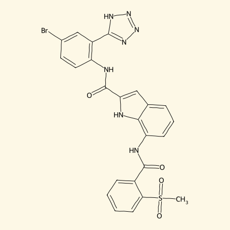 CS(=O)(=O)c1ccccc1C(=O)Nc1cccc2cc(C(=O)Nc3ccc(Br)cc3-c3nnn[nH]3)[nH]c12